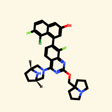 Oc1cc(-c2ccc3c(N4C[C@H]5CC[C@@H](C4)N5)nc(OCC45CCCN4CCC5)nc3c2F)c2c(Cl)c(F)ccc2c1